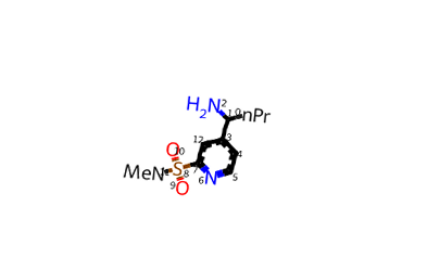 CCCC(N)c1ccnc(S(=O)(=O)NC)c1